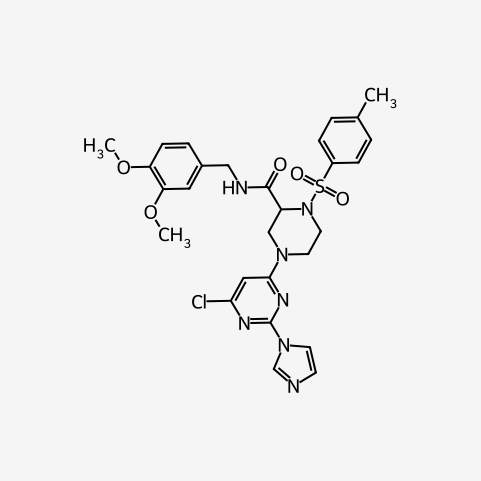 COc1ccc(CNC(=O)C2CN(c3cc(Cl)nc(-n4ccnc4)n3)CCN2S(=O)(=O)c2ccc(C)cc2)cc1OC